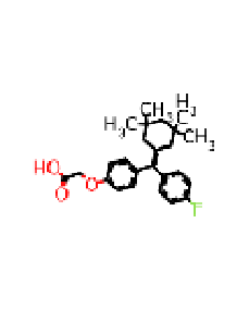 CC1(C)CC(=C(c2ccc(F)cc2)c2ccc(OCC(=O)O)cc2)CC(C)(C)C1